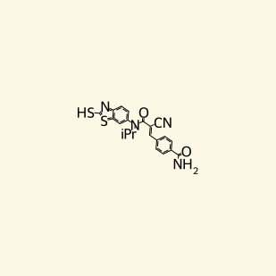 CC(C)N(C(=O)C(C#N)=Cc1ccc(C(N)=O)cc1)c1ccc2nc(S)sc2c1